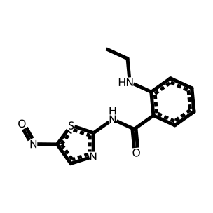 CCNc1ccccc1C(=O)Nc1ncc(N=O)s1